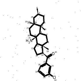 C[C@H]1CC[C@]2(C)C3CC[C@@]4(C)C(CC[C@@H]4C(=O)c4cccc(Cl)c4)[C@]3(N)CC[C@@H]2C1